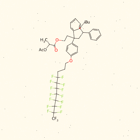 CCC(C)CC(CC(CCOC(=O)C(C)OC(C)=O)(c1ccccc1)c1ccc(OCCCC(F)(F)C(F)(F)C(F)(F)C(F)(F)C(F)(F)C(F)(F)C(F)(F)C(F)(F)F)cc1)c1ccccc1